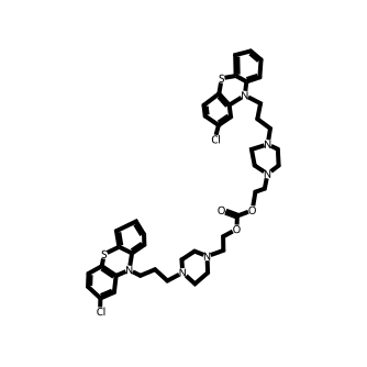 O=C(OCCN1CCN(CCCN2c3ccccc3Sc3ccc(Cl)cc32)CC1)OCCN1CCN(CCCN2c3ccccc3Sc3ccc(Cl)cc32)CC1